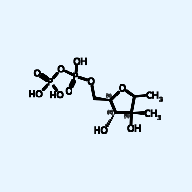 CC1O[C@H](COP(=O)(O)OP(=O)(O)O)[C@@H](O)[C@@]1(C)O